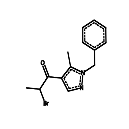 Cc1c(C(=O)C(C)Br)cnn1Cc1ccccc1